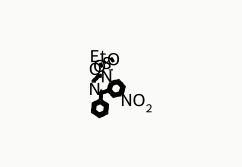 CCS(=O)(=O)CN1C(=O)CN=C(c2ccccc2)c2cc([N+](=O)[O-])ccc21